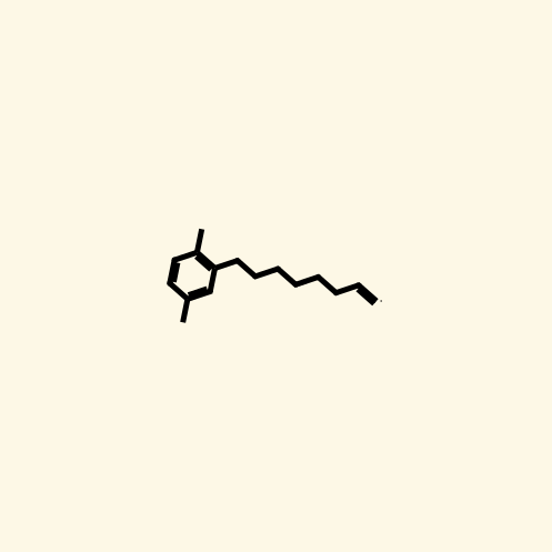 [CH]=CCCCCCCc1cc(C)ccc1C